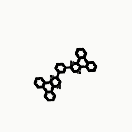 c1cc(-c2cnc3c4ccccc4c4ccccc4c3n2)cc(-c2cnc3c4ccccc4c4ccccc4c3n2)c1